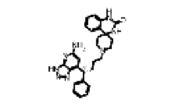 Nc1cc([C@H](CCCN2CCC3(CC2)NC(=O)Nc2ccccc23)c2ccccc2)c2nn[nH]c2n1